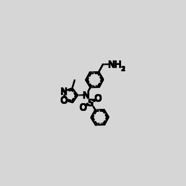 Cc1nocc1N(c1ccc(CN)cc1)S(=O)(=O)c1ccccc1